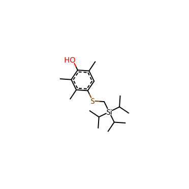 Cc1cc(SC[Si](C(C)C)(C(C)C)C(C)C)c(C)c(C)c1O